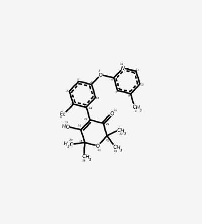 CCc1ccc(Oc2cc(C)ccn2)cc1C1=C(O)C(C)(C)OC(C)(C)C1=O